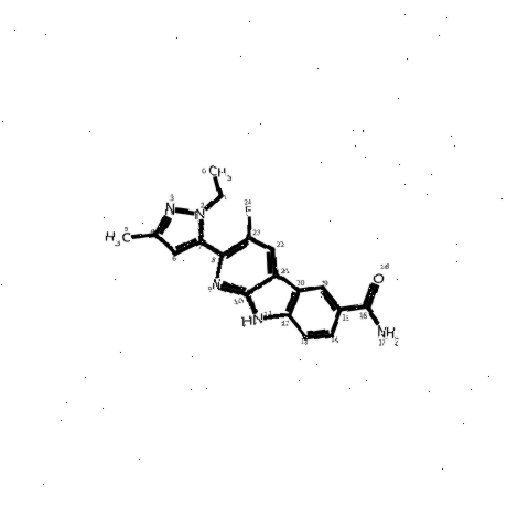 CCn1nc(C)cc1-c1nc2[nH]c3ccc(C(N)=O)cc3c2cc1F